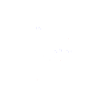 Nc1ccc(C(=O)N(N)NC(=O)C(=O)CCCO)cc1